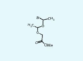 COC(=O)COC(C)OC(C)Br